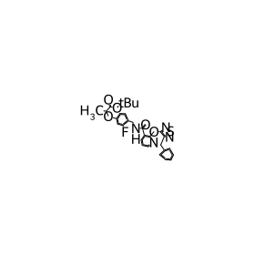 CC(Oc1ccc(CNC(=O)c2cccnc2Oc2nsnc2Cc2ccccc2)c(F)c1)C(=O)OC(C)(C)C